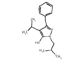 CC(C)Cn1nc(-c2ccccc2)c(C(C)C)c1O